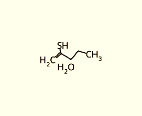 C=C(S)CCC.O